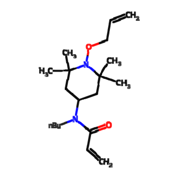 C=CCON1C(C)(C)CC(N(CCCC)C(=O)C=C)CC1(C)C